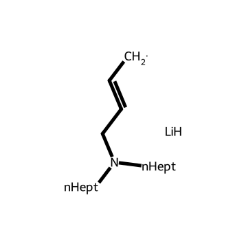 [CH2]C=CCN(CCCCCCC)CCCCCCC.[LiH]